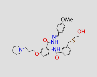 COc1ccc(C=NNC(=O)c2cc(OCCCN3CCCCC3)ccc2NC(=O)c2cccc(CSCCO)c2)cc1